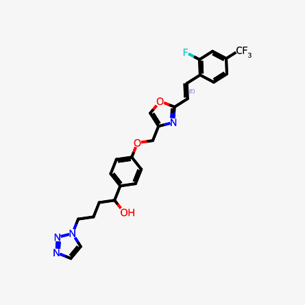 OC(CCCn1ccnn1)c1ccc(OCc2coc(/C=C/c3ccc(C(F)(F)F)cc3F)n2)cc1